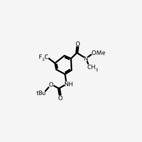 CON(C)C(=O)c1cc(NC(=O)OC(C)(C)C)cc(C(F)(F)F)c1